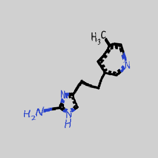 Cc1cncc(CCc2c[nH]c(N)n2)c1